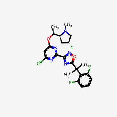 C[C@H](Oc1cc(Cl)nc(-c2noc(C(C)(C)c3c(F)cccc3F)n2)n1)[C@@H]1C[C@@H](F)CN1C